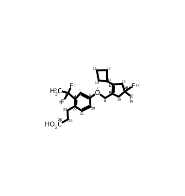 CC(F)(F)c1cc(OCC2=C(C3CCC3)CC(F)(F)C2)ccc1CCC(=O)O